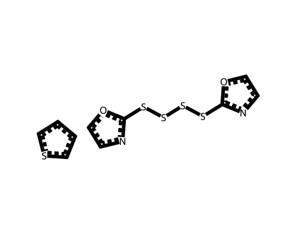 c1ccsc1.c1coc(SSSSc2ncco2)n1